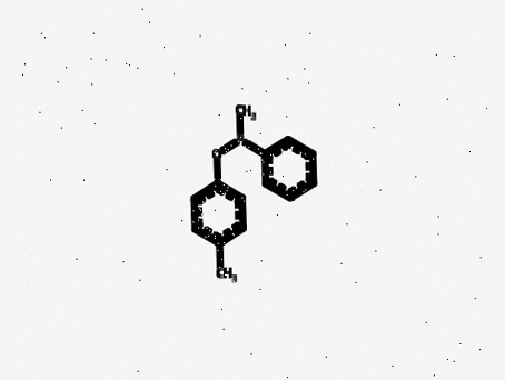 Cc1ccc(OP(C)c2ccccc2)cc1